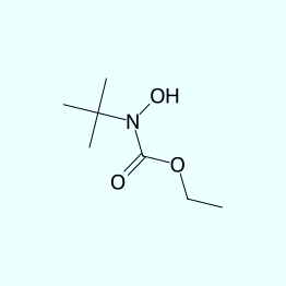 CCOC(=O)N(O)C(C)(C)C